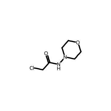 O=C(CCl)NN1CCOCC1